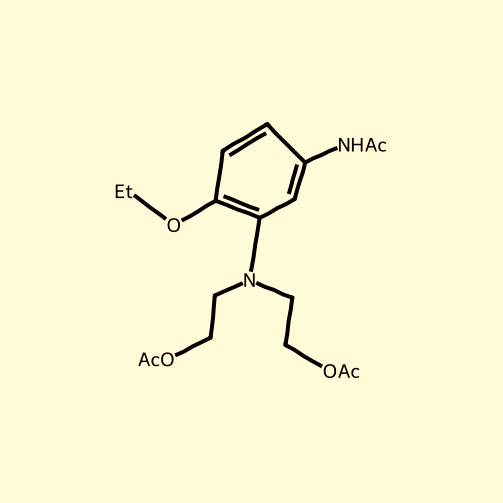 CCOc1ccc(NC(C)=O)cc1N(CCOC(C)=O)CCOC(C)=O